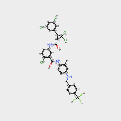 Cc1cc(NCc2ccc(C(F)(F)F)cc2)ccc1NC(=O)c1cc(NC(=O)[C@@H]2C(c3cc(Cl)cc(Cl)c3)C2(Cl)Cl)ccc1Cl